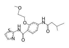 COCCOc1cc(NC(=O)CC(C)C)ccc1C(=O)Nc1nccs1